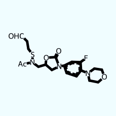 CC(=O)N(CC1CN(c2ccc(N3CCOCC3)c(F)c2)C(=O)O1)SCCC=O